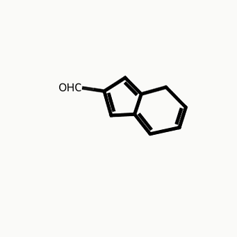 O=CC1=CC2=CC=CCC2=C1